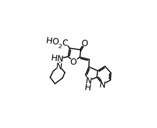 O=C(O)C1=C(NN2CCCCC2)OC(=Cc2c[nH]c3ncccc23)C1=O